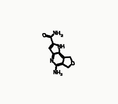 NC(=O)c1cc2nc(N)c3c(c2[nH]1)COC3